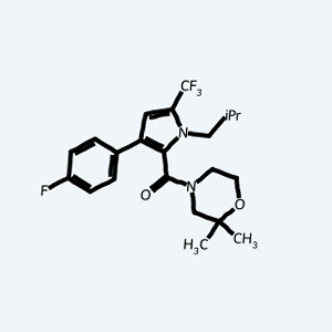 CC(C)Cn1c(C(F)(F)F)cc(-c2ccc(F)cc2)c1C(=O)N1CCOC(C)(C)C1